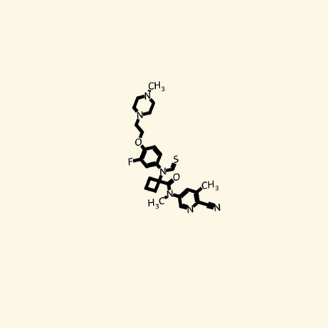 Cc1cc(N(C)C(=O)C2(N(C=S)c3ccc(OCCN4CCN(C)CC4)c(F)c3)CCC2)cnc1C#N